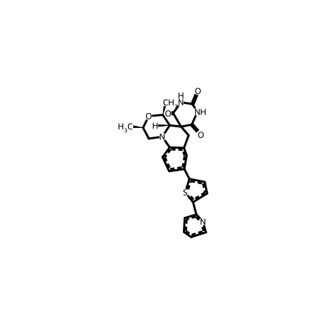 C[C@@H]1CN2c3ccc(-c4ccc(-c5ccccn5)s4)cc3CC3(C(=O)NC(=O)NC3=O)[C@H]2[C@H](C)O1